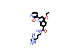 CCOc1cc(-c2cccnc2OC)nc2cc(C(=O)NCCCc3nnc[nH]3)ccc12